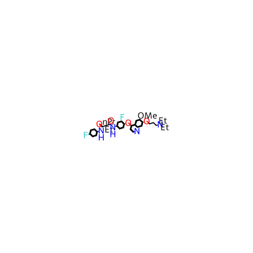 CCCC(CC)(C(=O)Nc1ccc(F)cc1)C(=O)Nc1ccc(Oc2ccnc3cc(OCCCN(CC)CC)c(OC)cc23)c(F)c1